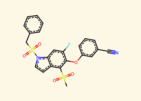 CS(=O)(=O)c1c(Oc2cccc(C#N)c2)c(F)cc2c1ccn2S(=O)(=O)Cc1ccccc1